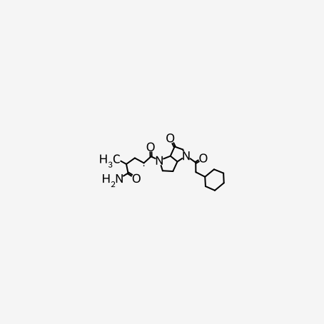 CC(C[CH]C(=O)N1CCC2C1C(=O)CN2C(=O)CC1CCCCC1)C(N)=O